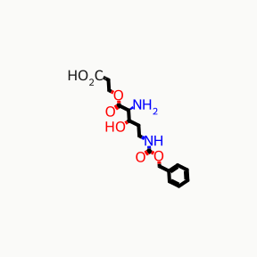 N[C@H](C(=O)OCCC(=O)O)C(O)CCNC(=O)OCc1ccccc1